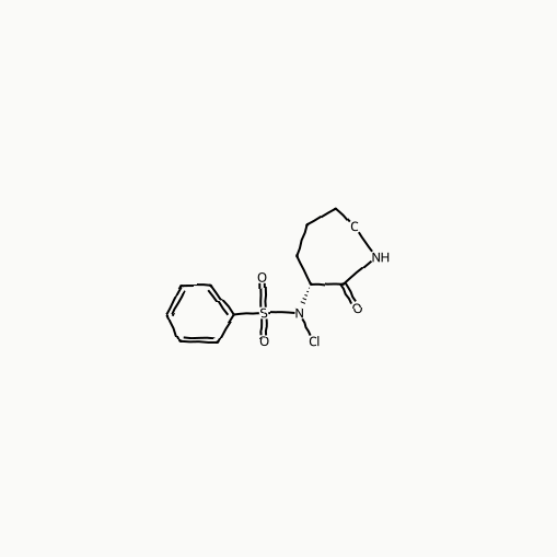 O=C1NCCCC[C@H]1N(Cl)S(=O)(=O)c1ccccc1